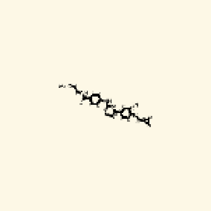 COCCNC(=O)c1ccc(Nc2nccc(-c3ccc(OCC4CC4)c(C#N)c3)n2)cc1